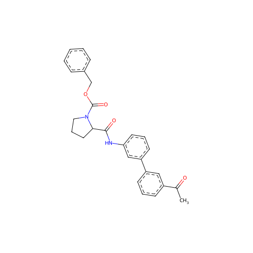 CC(=O)c1cccc(-c2cccc(NC(=O)C3CCCN3C(=O)OCc3ccccc3)c2)c1